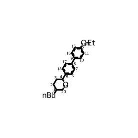 CCCCC1CCC(c2ccc(-c3ccc(OCC)cc3)cc2)OC1